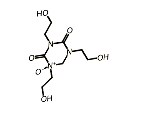 O=C1N(CCO)C[N+]([O-])(CCO)C(=O)N1CCO